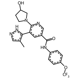 Cc1cn[nH]c1-c1cc(C(=O)Nc2ccc(OC(F)(F)F)cc2)cnc1N1CCC(O)C1